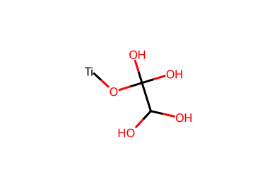 OC(O)C(O)(O)[O][Ti]